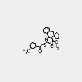 Cn1c(SCC(=O)c2cccc(C(F)(F)F)c2)nc2c(c1=O)C1(CCCC1)Cc1ccccc1-2